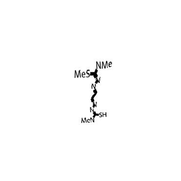 CN/C(S)=N/N=C/C=N/N=C(/NC)SC